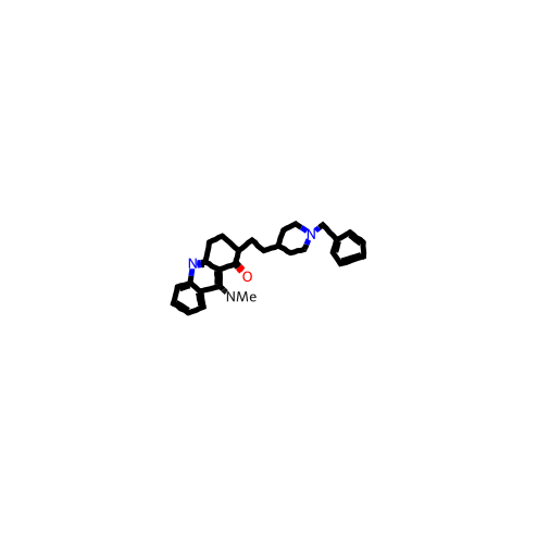 CNc1c2c(nc3ccccc13)CCC(CCC1CCN(Cc3ccccc3)CC1)C2=O